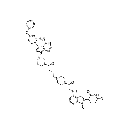 Nc1ncnc2c1c(-c1ccc(Oc3ccccc3)cc1)nn2[C@@H]1CCCN(C(=O)CCCN2CCN(C(=O)CNc3cccc4c3CN(C3CCC(=O)NC3=O)C4=O)CC2)C1